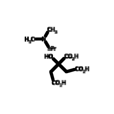 CCCN(C)C.O=C(O)CC(O)(CC(=O)O)C(=O)O